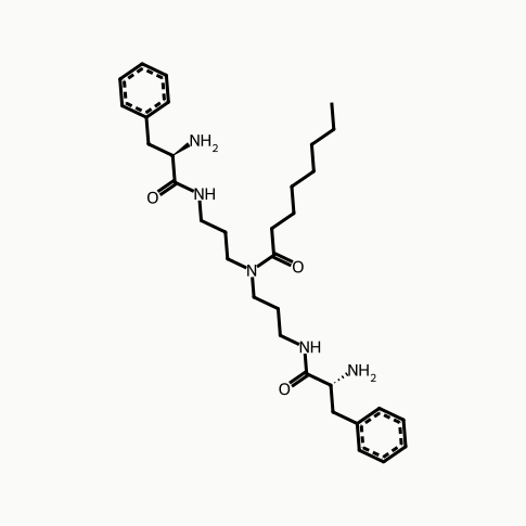 CCCCCCCC(=O)N(CCCNC(=O)[C@H](N)Cc1ccccc1)CCCNC(=O)[C@H](N)Cc1ccccc1